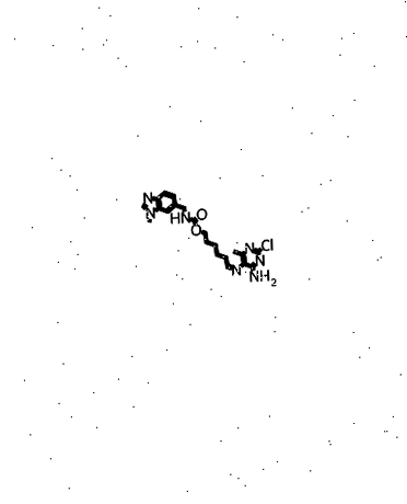 Cc1nc(Cl)nc(N)c1/N=C\CCCCCOC(=O)NCc1ccc2ncn(C)c2c1